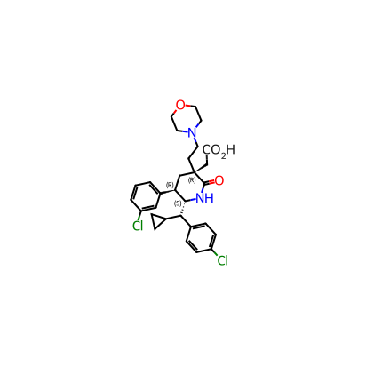 O=C(O)C[C@]1(CCN2CCOCC2)C[C@H](c2cccc(Cl)c2)[C@@H](C(c2ccc(Cl)cc2)C2CC2)NC1=O